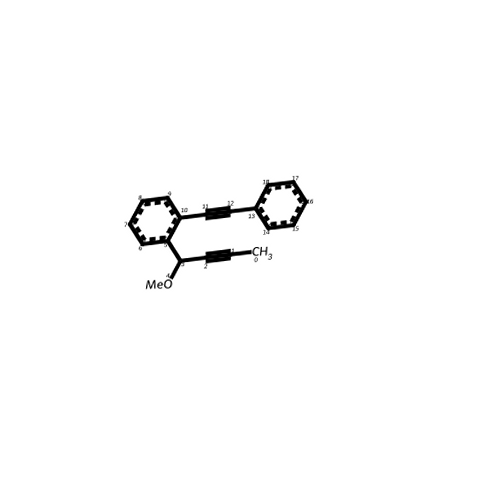 CC#CC(OC)c1ccccc1C#Cc1ccccc1